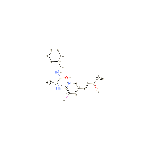 COC(=O)/C=C/c1cnc(N[C@H](C)C(=O)NCC2CCCCC2)c(I)c1